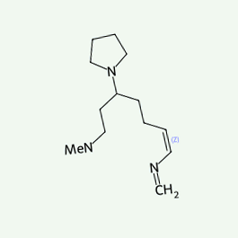 C=N/C=C\CCC(CCNC)N1CCCC1